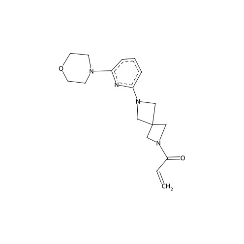 C=CC(=O)N1CC2(C1)CN(c1cccc(N3CCOCC3)n1)C2